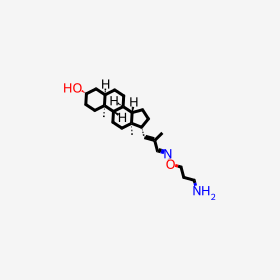 CC(/C=N/OCCCN)=C\[C@H]1CC[C@H]2[C@@H]3CC[C@@H]4C[C@@H](O)CC[C@]4(C)[C@H]3CC[C@]12C